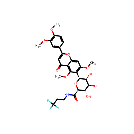 COc1ccc(-c2cc(=O)c3c(OC)c([C@@H]4O[C@H](C(=O)NCCC(F)(F)F)[C@@H](O)[C@H](O)[C@H]4O)c(OC)cc3o2)cc1OC